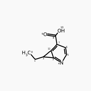 CCC1c2nccc(C(=O)O)c21